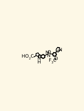 O=C(O)CC1CCc2c1[nH]c1ccc(-c3noc(-c4cc(OC(F)(F)F)cc(N5C=NC=CC5)c4)n3)cc21